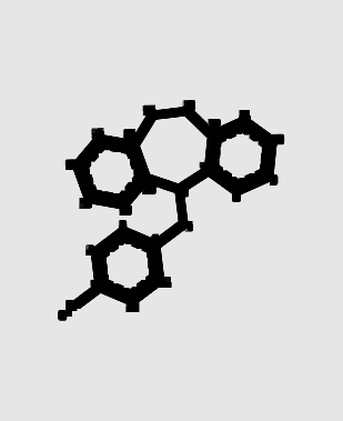 Fc1ccc(CC2c3ccccc3CCc3ccccc32)cc1